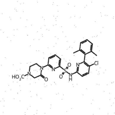 Cc1cccc(C)c1-c1nc(NS(=O)(=O)c2cccc(N3CCN(C(=O)O)CC3=O)n2)ccc1Cl